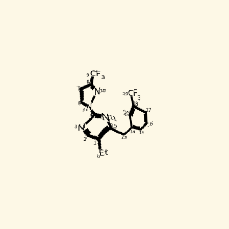 CCc1cnc(-n2ccc(C(F)(F)F)n2)nc1Cc1cccc(C(F)(F)F)c1